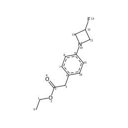 CCOC(=O)Cc1ccc(N2CC(F)C2)cc1